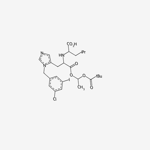 CC(C)CC(NC(Cc1cncn1Cc1cc(Cl)cc(I)c1)C(=O)OC(C)OC(=O)C(C)(C)C)C(=O)O